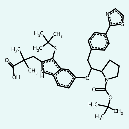 CC(C)(C)OC(=O)N1CCCC1C(Cc1ccc(-c2nccs2)cc1)Oc1ccc2[nH]c(CC(C)(C)C(=O)O)c(SC(C)(C)C)c2c1